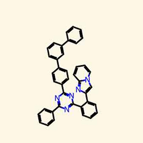 c1ccc(-c2cccc(-c3ccc(-c4nc(-c5ccccc5)nc(-c5ccccc5-c5cn6ccccc6n5)n4)cc3)c2)cc1